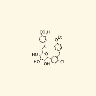 CCOc1ccc(Cc2cc(C3OC(CSc4ccc(C(=O)O)cc4)C(O)C(O)C3O)ccc2Cl)cc1